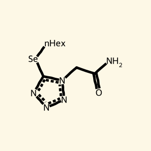 CCCCCC[Se]c1nnnn1CC(N)=O